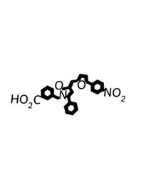 O=C(O)c1cccc(CN2C(=O)C(=Cc3ccc(-c4ccc([N+](=O)[O-])cc4)o3)C=C2c2ccccc2)c1